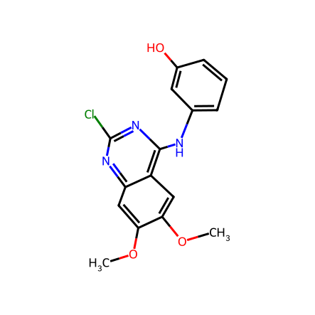 COc1cc2nc(Cl)nc(Nc3cccc(O)c3)c2cc1OC